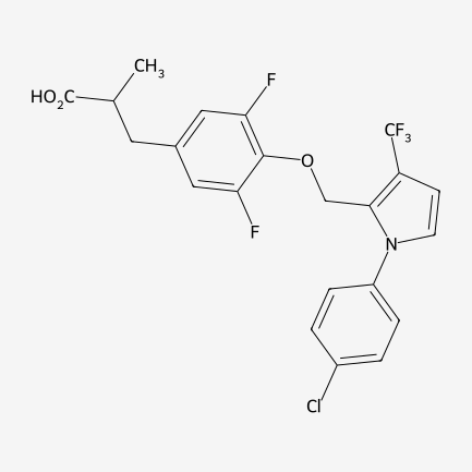 CC(Cc1cc(F)c(OCc2c(C(F)(F)F)ccn2-c2ccc(Cl)cc2)c(F)c1)C(=O)O